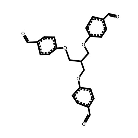 O=Cc1ccc(OCC(COc2ccc(C=O)cc2)COc2ccc(C=O)cc2)cc1